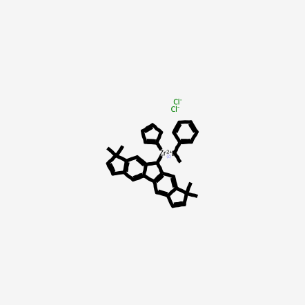 C/[C](c1ccccc1)=[Zr+2](/[C]1=CC=CC1)[CH]1c2cc3c(cc2-c2cc4c(cc21)C(C)(C)C=C4)C=CC3(C)C.[Cl-].[Cl-]